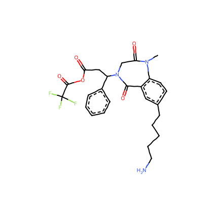 CN1C(=O)CN(C(CC(=O)OC(=O)C(F)(F)F)c2ccccc2)C(=O)c2cc(CCCCCN)ccc21